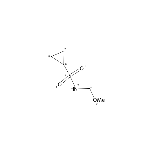 COCNS(=O)(=O)C1CC1